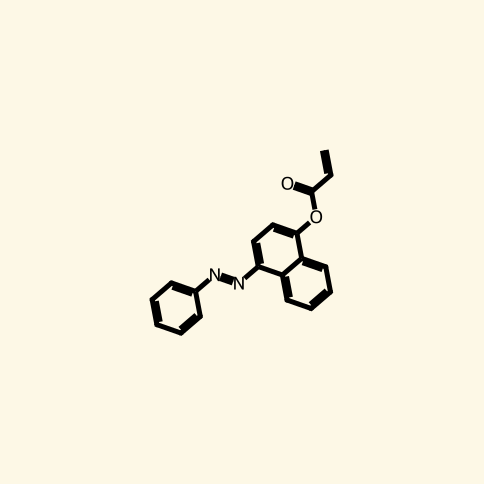 C=CC(=O)Oc1ccc(N=Nc2ccccc2)c2ccccc12